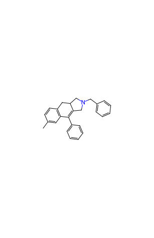 Cc1ccc2c(c1)C(c1ccccc1)=C1CN(Cc3ccccc3)CC1C2